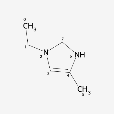 CCN1C=C(C)NC1